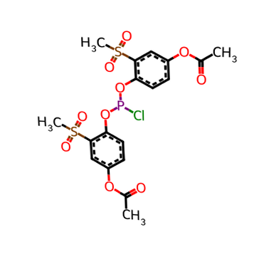 CC(=O)Oc1ccc(OP(Cl)Oc2ccc(OC(C)=O)cc2S(C)(=O)=O)c(S(C)(=O)=O)c1